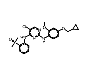 COc1cc(OCC2CC2)ccc1Nc1ncc(Cl)c(Nc2ccccc2P(C)(C)=O)n1